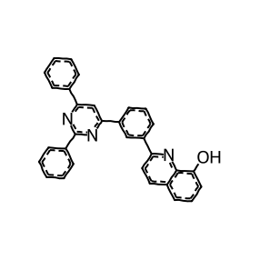 Oc1cccc2ccc(-c3cccc(-c4cc(-c5ccccc5)nc(-c5ccccc5)n4)c3)nc12